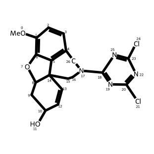 COc1ccc2c3c1OC1CC(O)C=CC31CCN(c1nc(Cl)nc(Cl)n1)C2